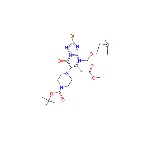 COC(=O)Cc1c(N2CCN(C(=O)OC(C)(C)C)CC2)c(=O)n2nc(Br)nc2n1COCC[Si](C)(C)C